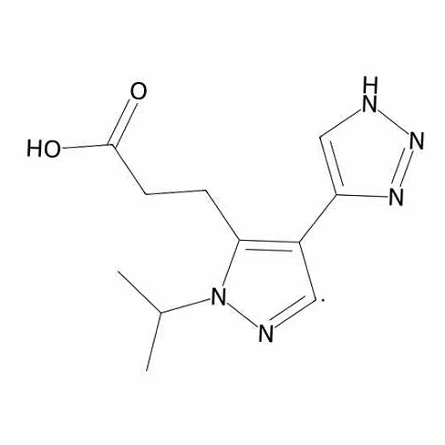 CC(C)n1n[c]c(-c2c[nH]nn2)c1CCC(=O)O